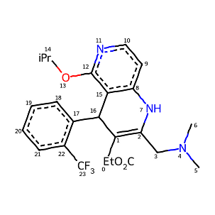 CCOC(=O)C1=C(CN(C)C)Nc2ccnc(OC(C)C)c2C1c1ccccc1C(F)(F)F